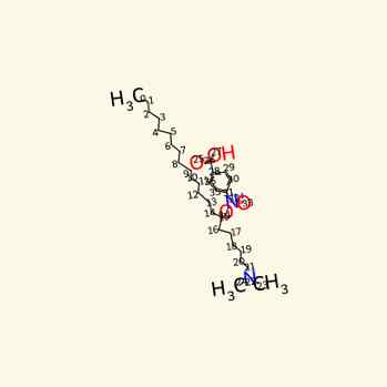 CCCCCCCCCCCCCCCCCCCCCCN(C)C.O=C(O)c1ccc([N+](=O)[O-])cc1